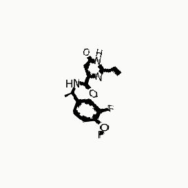 CCc1nc(C(=O)N[C@H](C)c2ccc(OF)c(F)c2)cc(=O)[nH]1